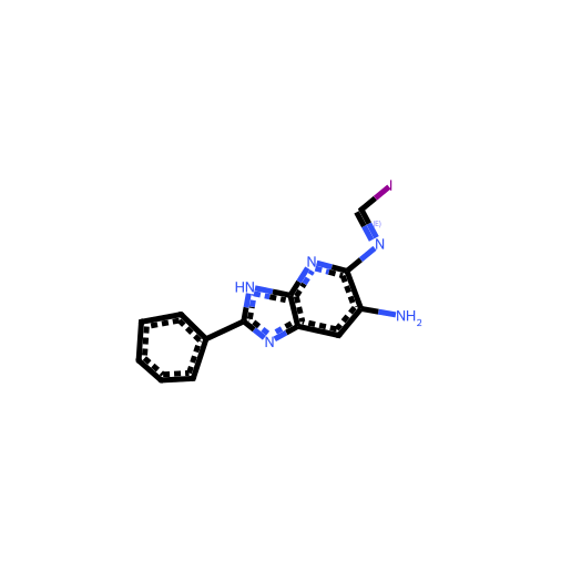 Nc1cc2nc(-c3ccccc3)[nH]c2nc1/N=C/I